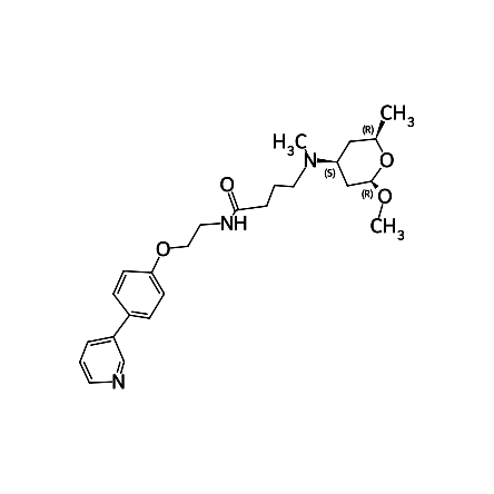 CO[C@H]1C[C@@H](N(C)CCCC(=O)NCCOc2ccc(-c3cccnc3)cc2)C[C@@H](C)O1